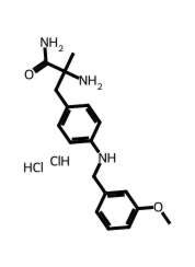 COc1cccc(CNc2ccc(CC(C)(N)C(N)=O)cc2)c1.Cl.Cl